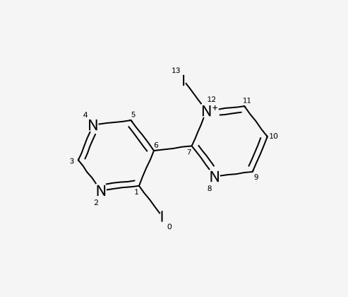 Ic1ncncc1-c1nccc[n+]1I